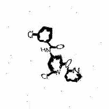 O=C(Nc1cc(Cl)nc(Oc2ccccn2)c1)c1cccc(Cl)c1